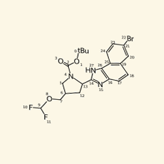 CC(C)(C)OC(=O)N1CC(COC(F)F)CC1c1nc2ccc3cc(Br)ccc3c2[nH]1